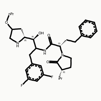 CCCOC1CN[C@@H]([C@@H](O)C(Cc2cc(F)cc(F)c2)NC(=O)[C@H](CCc2ccccc2)N2CC[C@H](C(C)C)C2=O)C1